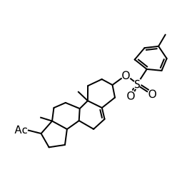 CC(=O)C1CCC2C3CC=C4CC(OS(=O)(=O)c5ccc(C)cc5)CCC4(C)C3CCC12C